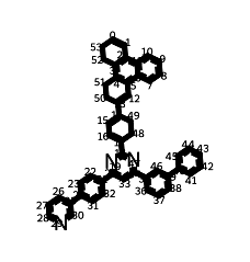 C1=Cc2c(c3c(c4ccccc24)C=C(C2=CC=C(c4nc(-c5ccc(-c6cccnc6)cc5)cc(-c5cccc(-c6ccccc6)c5)n4)CC2)CC3)CC1